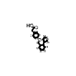 O=C(O)Cc1ccc(OCc2ccccc2-c2ccsc2)cc1